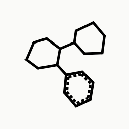 [CH]1CCC(C2CCCCC2)C(c2ccccc2)C1